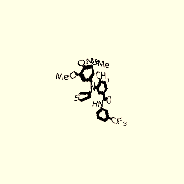 COc1cc(N(c2ccsc2)c2cc(C(=O)Nc3cccc(C(F)(F)F)c3)ccc2C)cc(OC)c1OC